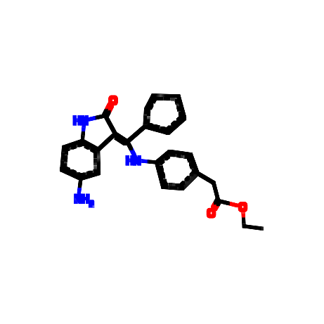 CCOC(=O)Cc1ccc(NC(=C2C(=O)Nc3ccc(N)cc32)c2ccccc2)cc1